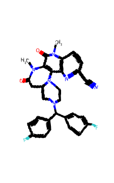 CN1C(=O)CC2CN(C(c3ccc(F)cc3)c3ccc(F)cc3)CCN2c2c1c(=O)n(C)c1ccc(C#N)nc21